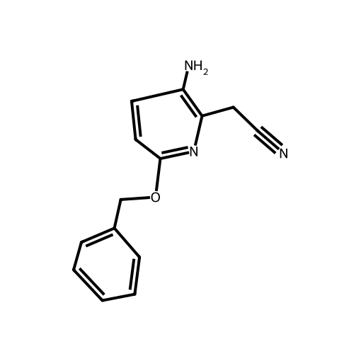 N#CCc1nc(OCc2ccccc2)ccc1N